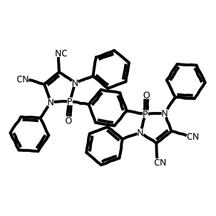 [C-]#[N+]C1=C([N+]#[C-])N(c2ccccc2)P(=O)(c2ccc(P3(=O)N(c4ccccc4)C(C#N)=C(C#N)N3c3ccccc3)cc2)N1c1ccccc1